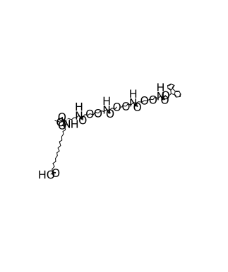 CC(C)(C)OC(=O)[C@H](CCCCNC(=O)CCOCCOCCNC(=O)CCOCCOCCNC(=O)CCOCCOCCNC(=O)OCC1c2ccccc2-c2ccccc21)NC(=O)CCCCCCCCCCCCCCCCC(=O)O